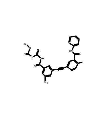 Cc1ccc(C#Cc2cc(C(=O)NC(=N)NC(=O)OC(C)(C)C)cc(C(F)(F)F)c2)cc1C(=O)Nc1ccccn1